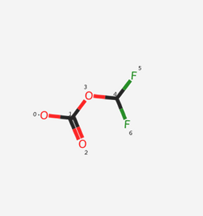 [O]C(=O)OC(F)F